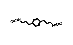 O=C=NCCCc1ccc(CCCN=C=O)cc1